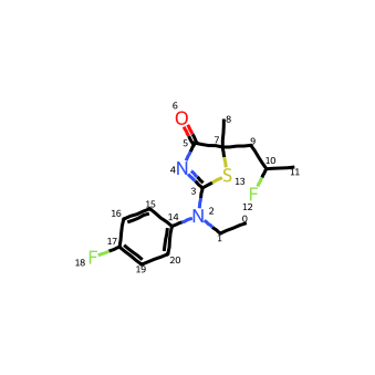 CCN(C1=NC(=O)C(C)(CC(C)F)S1)c1ccc(F)cc1